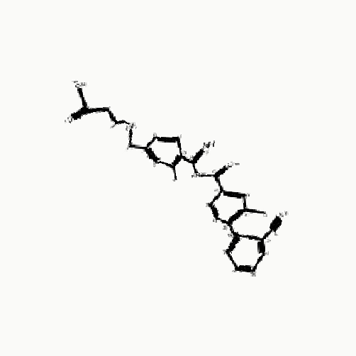 Cc1cc(CNCCC(=O)O)ccc1C(=N)NC(=O)c1ccc(-c2ccccc2C#N)c(C)c1